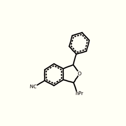 CCCC1OC(c2ccccc2)c2ccc(C#N)cc21